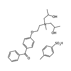 CC(O)C[N+](C)(CCOc1ccc(C(=O)c2ccccc2)cc1)CC(C)O.Cc1ccc(S(=O)(=O)O)cc1